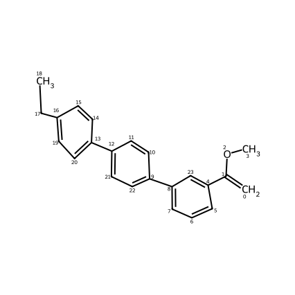 C=C(OC)c1cccc(-c2ccc(-c3ccc(CC)cc3)cc2)c1